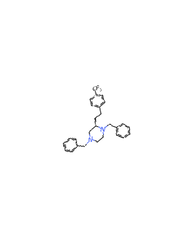 FC(F)(F)c1ccc(CC[C@@H]2CN(Cc3ccccc3)CCN2Cc2ccccc2)cc1